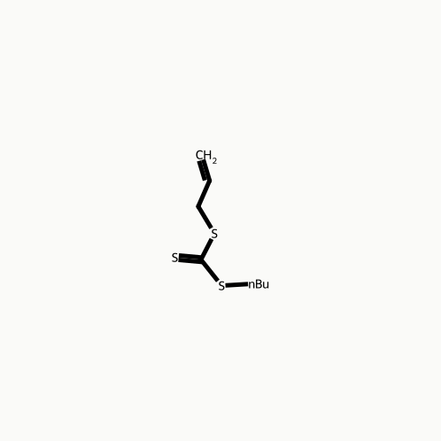 C=CCSC(=S)SCCCC